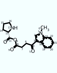 Cn1cc(C(=O)CCC(=O)OC(=O)[C@@H]2CCCN2)c2ccccc21